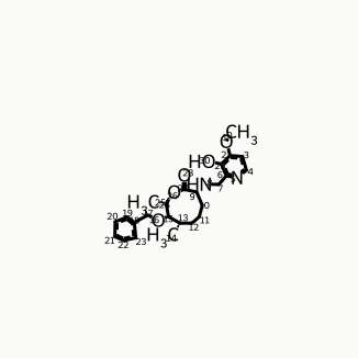 COc1ccnc(CN[C@H]2CCC[C@H](C)[C@@H](OCc3ccccc3)[C@H](C)OC2=O)c1O